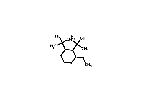 CCC1CCCC(C(C)(C)O)C1C(C)(C)O